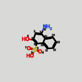 Nc1cc(O)c(S(=O)(=O)O)c2ccccc12